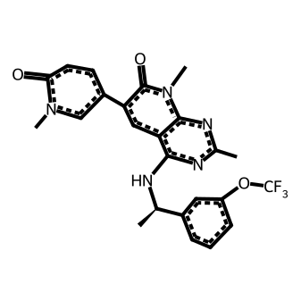 Cc1nc(N[C@H](C)c2cccc(OC(F)(F)F)c2)c2cc(-c3ccc(=O)n(C)c3)c(=O)n(C)c2n1